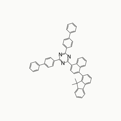 CC1(C)c2ccccc2-c2cccc(-c3ccc(-c4nc(-c5ccc(-c6ccccc6)cc5)nc(-c5ccc(-c6ccccc6)cc5)n4)c4ccccc34)c21